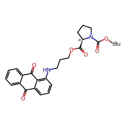 CC(C)(C)OC(=O)N1CCC[C@@H]1C(=O)OCCCNc1cccc2c1C(=O)c1ccccc1C2=O